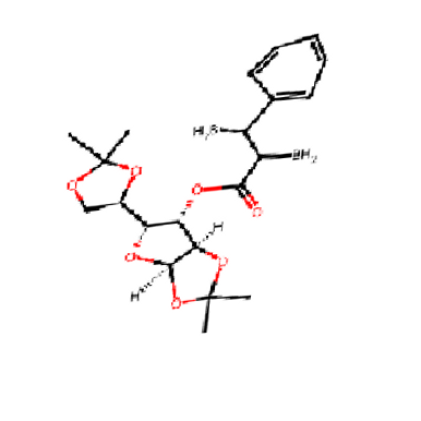 BC(C(=O)O[C@@H]1[C@H]2OC(C)(C)O[C@H]2O[C@@H]1[C@H]1COC(C)(C)O1)C(B)c1ccccc1